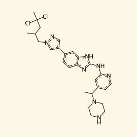 CC(Cn1cc(-c2ccc3nc(Nc4cc(C(C)N5CCNCC5)ccn4)[nH]c3c2)cn1)CC(C)(Cl)Cl